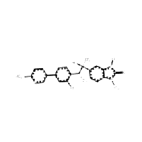 C[C@H](c1ccc(-c2ccc(C(=O)O)nc2)cc1Cl)[C@@](O)(c1ccc2c(c1)n(C)c(=O)n2C)C(F)(F)F